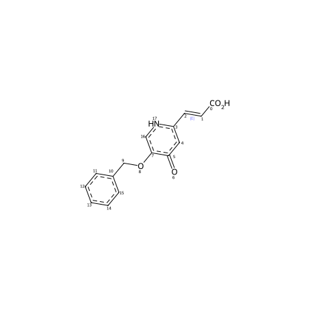 O=C(O)/C=C/c1cc(=O)c(OCc2ccccc2)c[nH]1